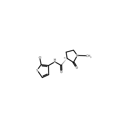 CN1CC[C@@H](C(=O)Nc2ccsc2Cl)C1=O